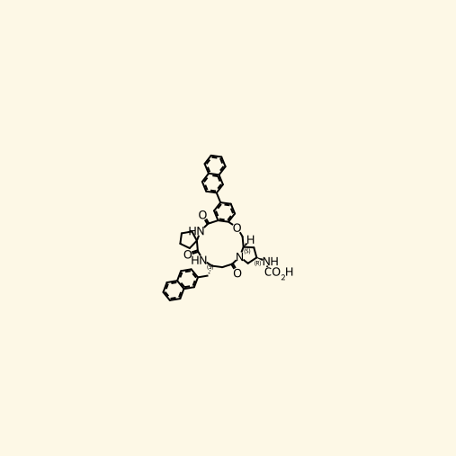 O=C(O)N[C@@H]1C[C@H]2COc3ccc(-c4ccc5ccccc5c4)cc3C(=O)NC3(CCCC3)C(=O)N[C@@H](Cc3ccc4ccccc4c3)CC(=O)N2C1